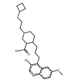 COc1ccc2ncc(Cl)c(CCCC3CCN(CCSC4CCC4)CC3C(=O)O)c2c1